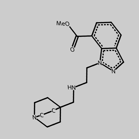 COC(=O)c1cccc2cnn(CCNCC34CCN(CC3)CC4)c12